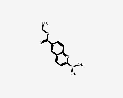 CCOC(=O)c1ccc2nc(N(C)C)ccc2c1